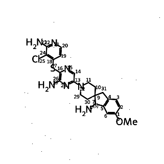 COc1ccc2c(c1)[C@@H](N)C1(CCN(c3cnc(Sc4ccnc(N)c4Cl)c(N)n3)CC1)C2